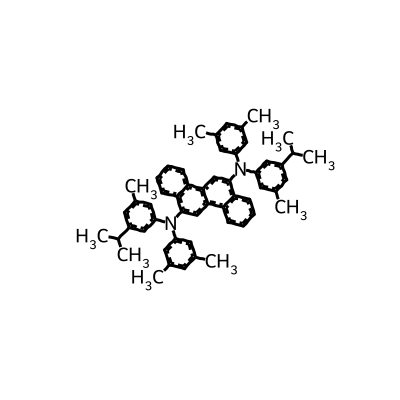 Cc1cc(C)cc(N(c2cc(C)cc(C(C)C)c2)c2cc3c4ccccc4c(N(c4cc(C)cc(C)c4)c4cc(C)cc(C(C)C)c4)cc3c3ccccc23)c1